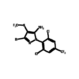 Nc1c(SC(F)(F)F)c(Br)nn1-c1c(Cl)cc(C(F)(F)F)cc1Cl